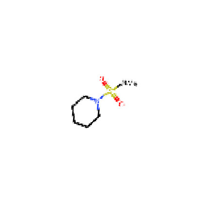 CNS(=O)(=O)N1C[CH]CCC1